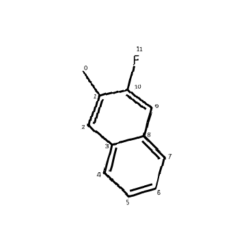 Cc1cc2ccccc2cc1F